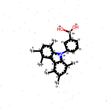 [2H]c1cc([2H])c2c(c1[2H])c1c([2H])c([2H])cc([2H])c1n2-c1cccc(B(O)O)c1